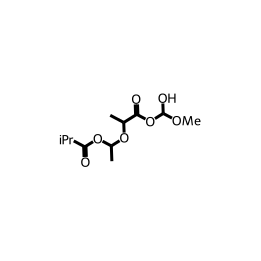 COC(O)OC(=O)C(C)OC(C)OC(=O)C(C)C